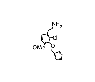 COc1ccc(CCN)c(Cl)c1OCc1ccccc1